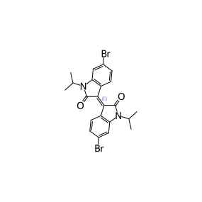 CC(C)N1C(=O)/C(=C2/C(=O)N(C(C)C)c3cc(Br)ccc32)c2ccc(Br)cc21